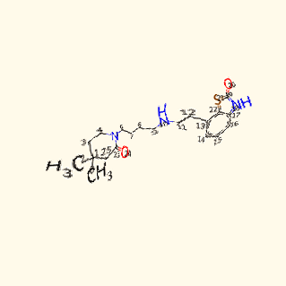 CC1(C)CCN(CCCCNCCc2cccc3[nH]c(=O)sc23)C(=O)C1